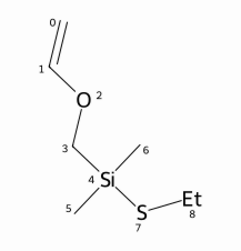 C=COC[Si](C)(C)SCC